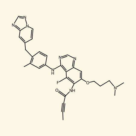 CC#CC(=O)Nc1c(OCCCN(C)C)cc2ncnc(Nc3ccc(Cc4ccn5ncnc5c4)c(C)c3)c2c1F